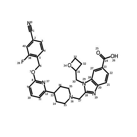 N#Cc1ccc(COc2cccc(C3CCN(Cc4nc5ccc(C(=O)O)cc5n4CC4CCO4)CC3)n2)c(F)c1